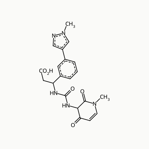 CN1C=CC(=O)C(NC(=O)NC(CC(=O)O)c2cccc(-c3cnn(C)c3)c2)C1=O